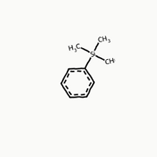 [CH][Si](C)(C)c1ccccc1